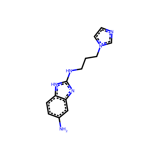 Nc1ccc2[nH]c(NCCCn3ccnc3)nc2c1